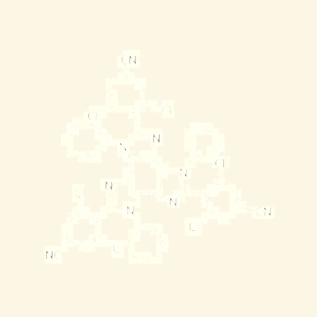 N#Cc1cc(Cl)c(-c2nc3c(c4nc(-c5c(Cl)cc(C#N)cc5Cl)n(-c5ccccc5)c4c4nc(-c5c(Cl)cc(C#N)cc5Cl)n(-c5ccccc5)c34)n2-c2ccccc2)c(Cl)c1